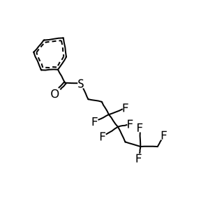 O=C(SCCC(F)(F)C(F)(F)CC(F)(F)CF)c1ccccc1